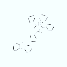 c1ccc(-c2cc(-c3ccc(-c4cccc5c4sc4ccccc45)cc3)nc(-c3ccccc3-c3ccccn3)n2)cc1